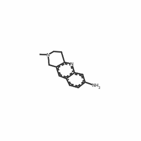 CN1CCc2nc3cc(N)ccc3cc2C1